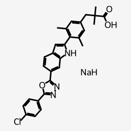 Cc1cc(CC(C)(C)C(=O)O)cc(C)c1-c1cc2ccc(-c3nnc(-c4ccc(Cl)cc4)o3)cc2[nH]1.[NaH]